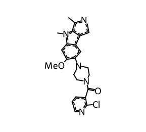 COc1cc2c(cc1N1CCN(C(=O)c3cccnc3Cl)CC1)c1ccnc(C)c1n2C